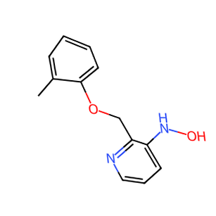 Cc1ccccc1OCc1ncccc1NO